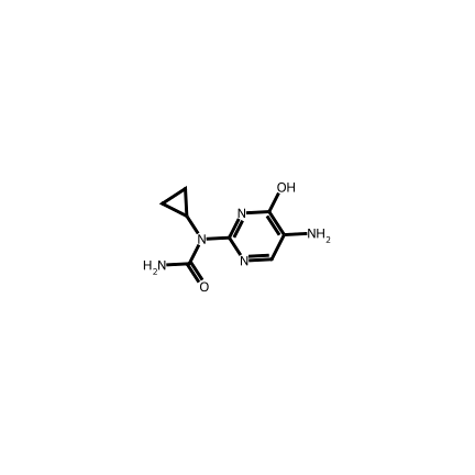 NC(=O)N(c1ncc(N)c(O)n1)C1CC1